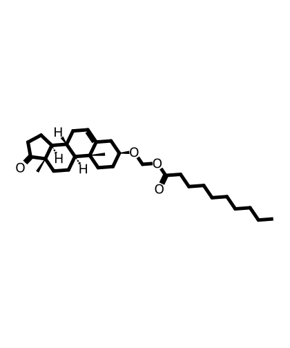 CCCCCCCCCC(=O)OCO[C@H]1CC[C@@]2(C)C(=CC[C@@H]3[C@@H]2CC[C@]2(C)C(=O)CC[C@@H]32)C1